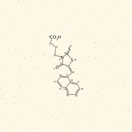 O=C(O)CCCN1C(=O)C(=Cc2cccc3ccccc23)SC1=S